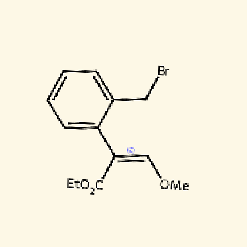 CCOC(=O)/C(=C\OC)c1ccccc1CBr